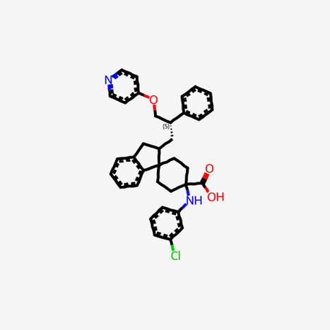 O=C(O)C1(Nc2cccc(Cl)c2)CCC2(CC1)c1ccccc1CC2C[C@H](COc1ccncc1)c1ccccc1